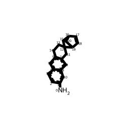 Nc1ccc2cc3c(cc2c1)CC1(CC3)CC2C=CC1C2